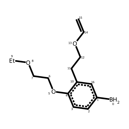 Bc1ccc(OCCOCC)c(CCOC=C)c1